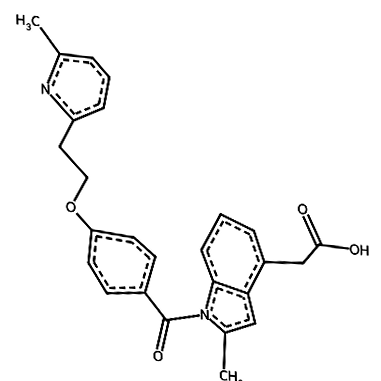 Cc1cccc(CCOc2ccc(C(=O)n3c(C)cc4c(CC(=O)O)cccc43)cc2)n1